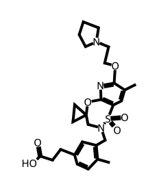 Cc1ccc(CCC(=O)O)cc1CN1CC2(CC2)Oc2nc(OCCN3CCCC3)c(C)cc2S1(=O)=O